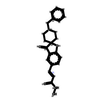 O=C(/C=C/c1ccc2c(c1)C(=O)C1(CCN(Cc3ccccc3)CC1)O2)NO